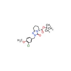 COc1ccc(Cn2nc3n(c2=O)[C@@H](C(=O)OC(C)(C)C)CCC3)cc1Cl